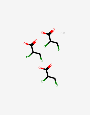 O=C([O-])C(Cl)CCl.O=C([O-])C(Cl)CCl.O=C([O-])C(Cl)CCl.[Ga+3]